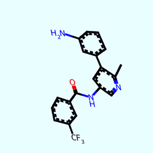 Cc1ncc(NC(=O)c2cccc(C(F)(F)F)c2)cc1-c1cccc(N)c1